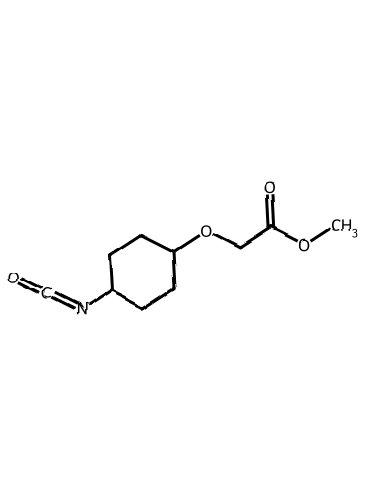 COC(=O)COC1CCC(N=C=O)CC1